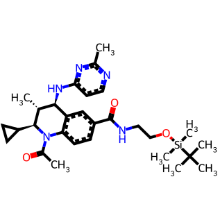 CC(=O)N1c2ccc(C(=O)NCCO[Si](C)(C)C(C)(C)C)cc2[C@H](Nc2ccnc(C)n2)[C@@H](C)[C@@H]1C1CC1